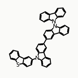 c1ccc2c(c1)sc1ccc(-n3c4ccccc4c4cc(-c5ccc6c(c5)c5ccccc5n6-n5c6ccccc6c6ccccc65)ccc43)cc12